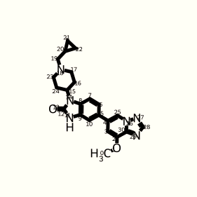 COc1cc(-c2ccc3c(c2)[nH]c(=O)n3C2CCN(CC3CC3)CC2)cn2ncnc12